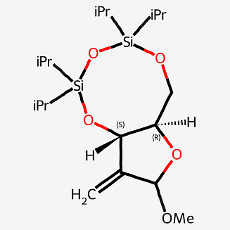 C=C1C(OC)O[C@@H]2CO[Si](C(C)C)(C(C)C)O[Si](C(C)C)(C(C)C)O[C@@H]12